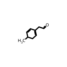 CC1C=CC(CC=O)=CC1